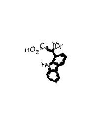 CCCC(CC(=O)O)c1cccc2c1[nH]c1ccccc12